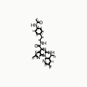 CC(=O)Nc1ccc(CCNC(=O)c2nc(NC(C)c3cncc(F)c3)nc3nc(C)sc23)cc1